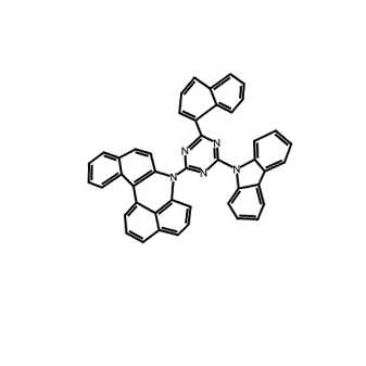 c1ccc2c(-c3nc(N4c5ccc6ccccc6c5-c5cccc6cccc4c56)nc(-n4c5ccccc5c5ccccc54)n3)cccc2c1